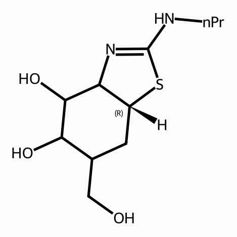 CCCNC1=NC2C(O)C(O)C(CO)C[C@H]2S1